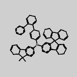 CC1(C)c2ccc(N(C3=CCC(C4=CCCC=C4c4ccccc4)C=C3)c3ccc4c(c3)C3(C5=C(CCC=C5)C5=C3C=CCC5)C3=C4CCC=C3)cc2C2=CC=CCC21